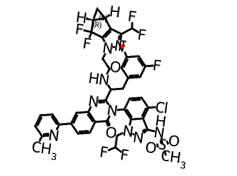 Cc1cccc(-c2ccc3c(=O)n(-c4ccc(Cl)c5c(NS(C)(=O)=O)nn(CC(F)F)c45)c(C(Cc4cc(F)cc(F)c4)NC(=O)Cn4nc(C(F)F)c5c4C(F)(F)[C@@H]4C[C@H]54)nc3c2)n1